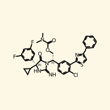 CN(C)C(=O)OC[C@H](c1ccc(Cl)c(-c2nc(-c3ccccc3)cs2)c1)N1C(=N)N[C@@](c2cc(F)cc(F)c2)(C2CC2)C1=O